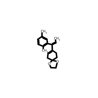 C/C=C(/C1=CCC2(CC1)OCCO2)c1cc(C)ccc1C